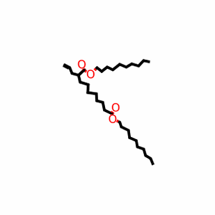 C=CCC(CCCCCCCC(=O)OCCCCCCCCCC)C(=O)OCCCCCCCCCC